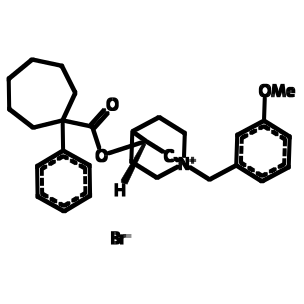 COc1cccc(C[N+]23CCC(CC2)[C@@H](OC(=O)C2(c4ccccc4)CCCCCC2)C3)c1.[Br-]